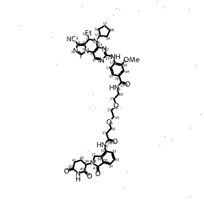 CC[C@@H]1c2c(C#N)ncn2-c2cnc(Nc3ccc(C(=O)NCCOCCOCCC(=O)Nc4cccc5c4CN(C4CCC(=O)NC4=O)C5=O)cc3OC)nc2N1C1CCCC1